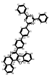 C1=CC(c2nc(-c3ccccc3)nc(-c3ccccc3)n2)CC=C1c1ccc(-c2nc3ccc4ccccc4c3c3oc4ccccc4c23)cc1